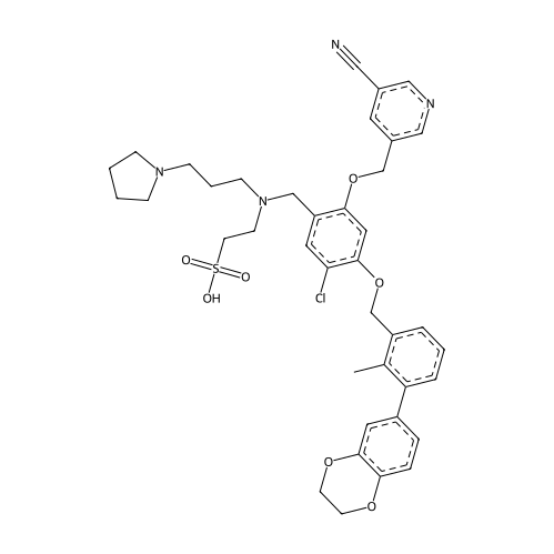 Cc1c(COc2cc(OCc3cncc(C#N)c3)c(CN(CCCN3CCCC3)CCS(=O)(=O)O)cc2Cl)cccc1-c1ccc2c(c1)OCCO2